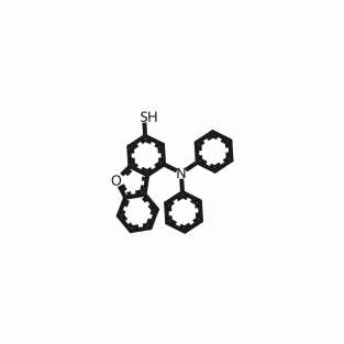 Sc1cc(N(c2ccccc2)c2ccccc2)c2c(c1)oc1ccccc12